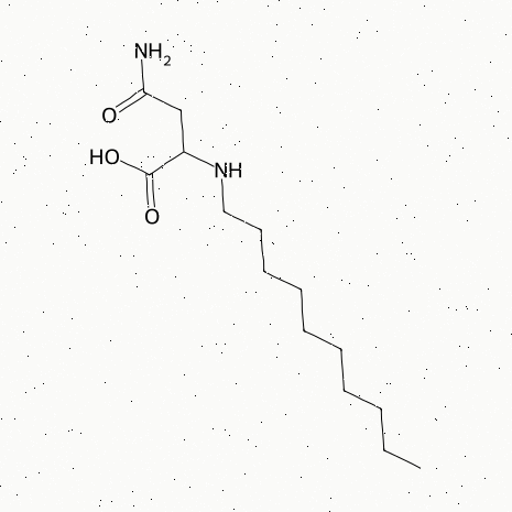 CCCCCCCCCCNC(CC(N)=O)C(=O)O